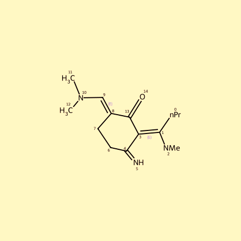 CCC/C(NC)=C1/C(=N)CC/C(=C\N(C)C)C1=O